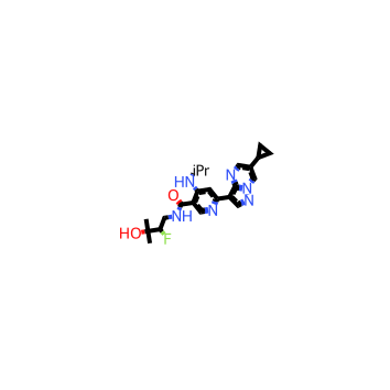 CC(C)Nc1cc(-c2cnn3cc(C4CC4)cnc23)ncc1C(=O)NCC(F)C(C)(C)O